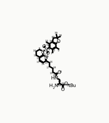 Cc1c(C)c(S(=O)(=O)N2CCCc3ccc(CCCCC(=O)NCC(N)C(=O)OC(C)(C)C)nc32)c(C)c2c1OC(C)(C)C2